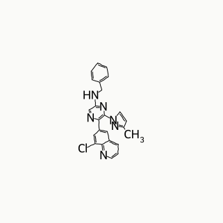 Cc1ccn(-c2nc(NCc3ccccc3)cnc2-c2cc(Cl)c3ncccc3c2)n1